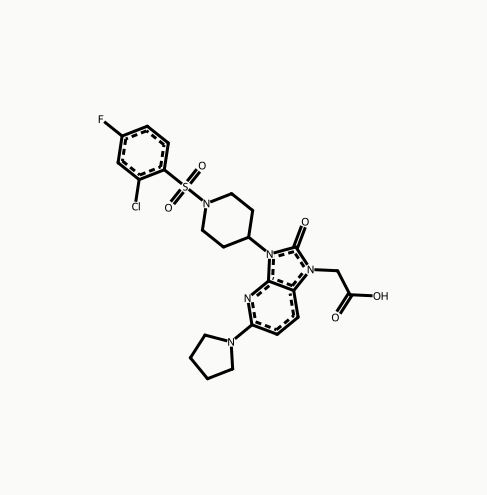 O=C(O)Cn1c(=O)n(C2CCN(S(=O)(=O)c3ccc(F)cc3Cl)CC2)c2nc(N3CCCC3)ccc21